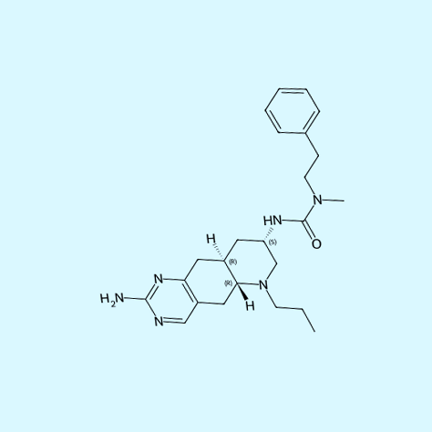 CCCN1C[C@@H](NC(=O)N(C)CCc2ccccc2)C[C@@H]2Cc3nc(N)ncc3C[C@H]21